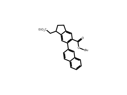 CCOC(=O)CC1CCc2cc(C(=O)OC(C)(C)C)c(-c3ccc4ccccc4c3)cc21